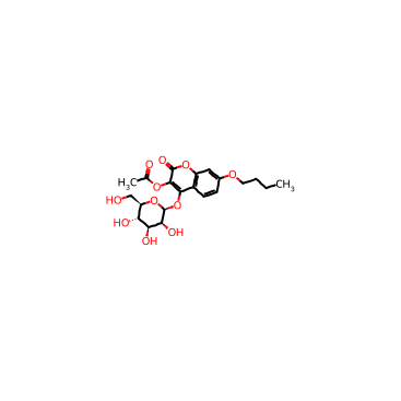 CCCCOc1ccc2c(O[C@@H]3O[C@H](CO)[C@@H](O)[C@H](O)[C@@H]3O)c(OC(C)=O)c(=O)oc2c1